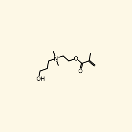 C=C(C)C(=O)OCC[N+](C)(C)CCCO